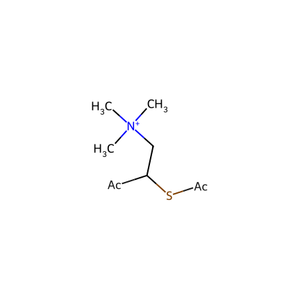 CC(=O)SC(C[N+](C)(C)C)C(C)=O